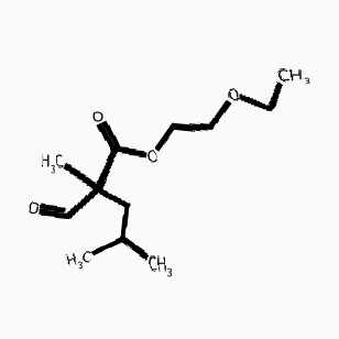 CCOCCOC(=O)C(C)(C=O)CC(C)C